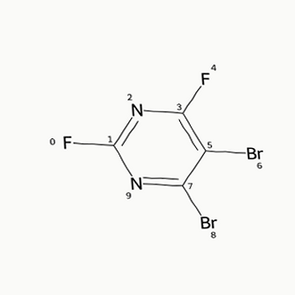 Fc1nc(F)c(Br)c(Br)n1